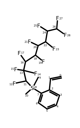 C=Cc1ccccc1[Si](C)(C)C(F)C(F)(F)C(F)C(F)C(F)C(F)C(F)C(F)F